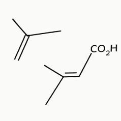 C=C(C)C.CC(C)=CC(=O)O